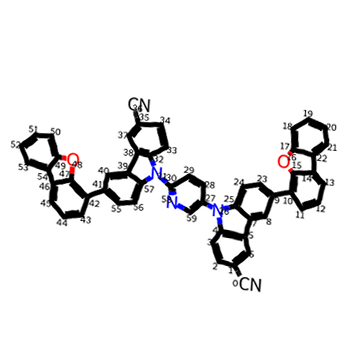 N#Cc1ccc2c(c1)c1cc(-c3cccc4c3oc3ccccc34)ccc1n2-c1ccc(-n2c3ccc(C#N)cc3c3cc(-c4cccc5c4oc4ccccc45)ccc32)nc1